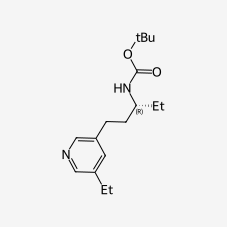 CCc1cncc(CC[C@@H](CC)NC(=O)OC(C)(C)C)c1